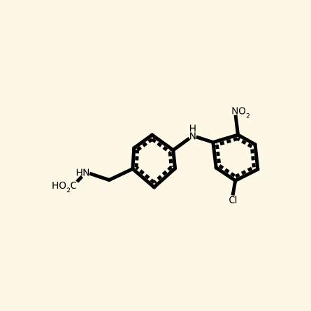 O=C(O)NCc1ccc(Nc2cc(Cl)ccc2[N+](=O)[O-])cc1